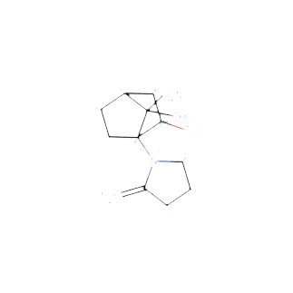 C=C1CCCN1C12CCC(CC1O)C2(C)C